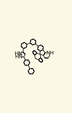 C1=CC2=C(NC1)c1ccc(-c3cccc(-c4cccc(C5=CC(c6ccc(-c7ccccc7)cc6)NN5)c4)c3)cc1C21c2ccccc2Cc2ccccc21